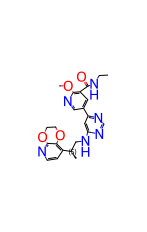 CCNC(=O)c1cc(-c2cc(NC[C@@H](C)c3ccnc4c3OCCO4)ncn2)cnc1OC